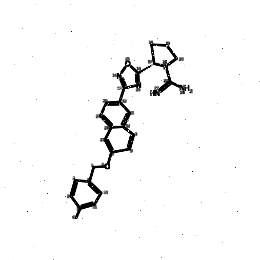 Cc1ccc(COc2ccc3cc(-c4noc([C@@H]5CCCN5C(=N)N)n4)ccc3c2)cc1